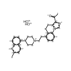 CC(=O)c1ncn2c1CCc1c(CCN3CCC(c4cccc5nc(C)ccc45)CC3)cccc1-2.Cl.Cl